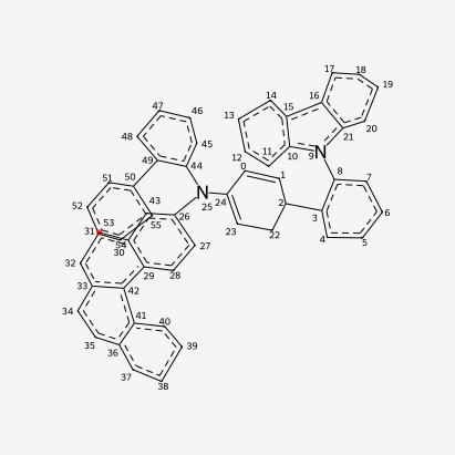 C1=CC(c2ccccc2-n2c3ccccc3c3ccccc32)CC=C1N(c1ccc2c(ccc3ccc4ccccc4c32)c1)c1ccccc1-c1ccccc1